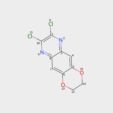 Clc1nc2cc3c(cc2nc1Cl)OCCO3